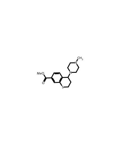 COC(=O)c1ccc2c(c1)SCCC2N1CCN(C)CC1